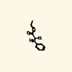 CCOC(=O)C(Cl)Nc1ccccc1